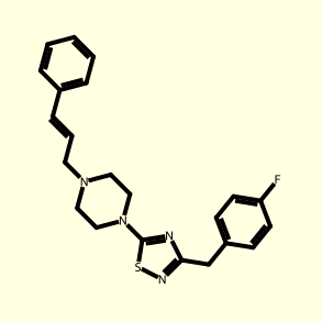 Fc1ccc(Cc2nsc(N3CCN(C/C=C/c4ccccc4)CC3)n2)cc1